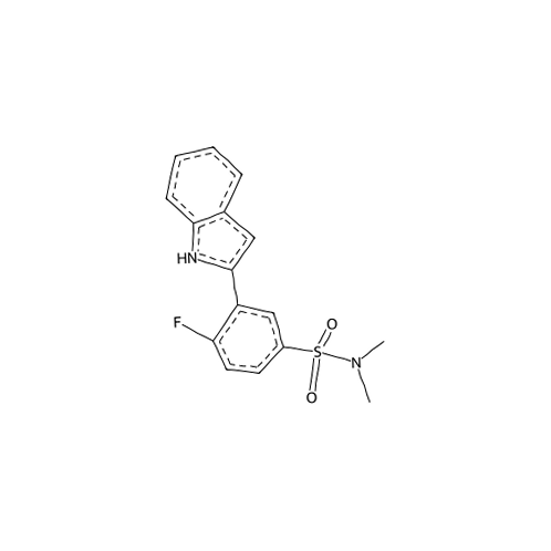 CN(C)S(=O)(=O)c1ccc(F)c(-c2cc3ccccc3[nH]2)c1